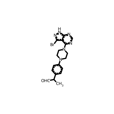 CC(C=O)c1ccc(N2CCN(c3ncnc4[nH]nc(Br)c34)CC2)cc1